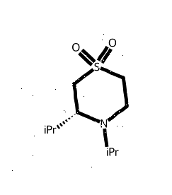 CC(C)[C@@H]1CS(=O)(=O)CCN1C(C)C